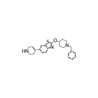 C1=C(c2ccc3nc(OC4CCN(Cc5ccccc5)CC4)sc3c2)CCNC1